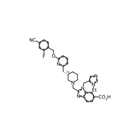 CCn1cncc1Cn1c(CN2CCC[C@@H](Cc3cccc(OCc4ccc(C#N)cc4F)n3)C2)nc2ccc(C(=O)O)cc21